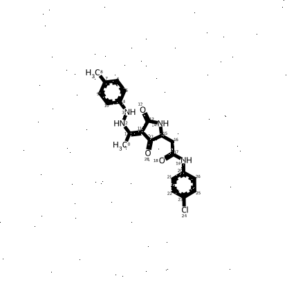 CC(NNc1ccc(C)cc1)=C1C(=O)NC(CC(=O)Nc2ccc(Cl)cc2)C1=O